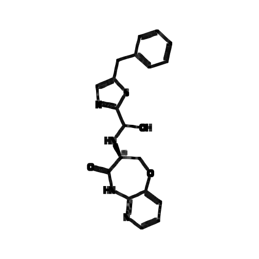 O=C1Nc2ncccc2OC[C@@H]1NC(O)c1ncc(Cc2ccccc2)s1